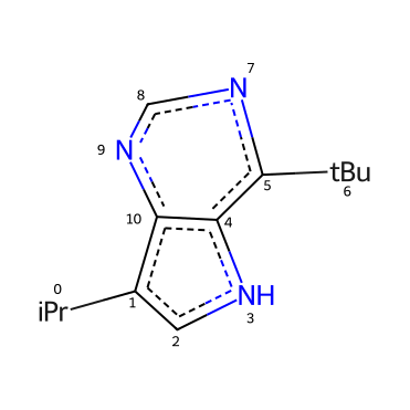 CC(C)c1c[nH]c2c(C(C)(C)C)ncnc12